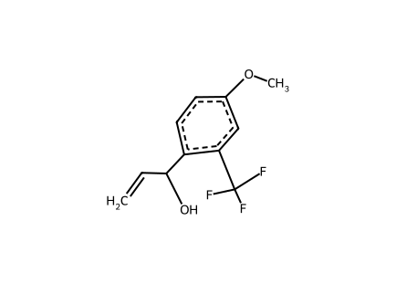 C=CC(O)c1ccc(OC)cc1C(F)(F)F